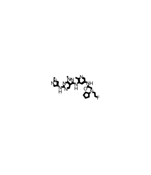 Cc1ncc(NC(=O)CN(CCF)C2CCCC2)cc1Nc1nn(C)c2nc(Nc3cnn(C)c3)ncc12